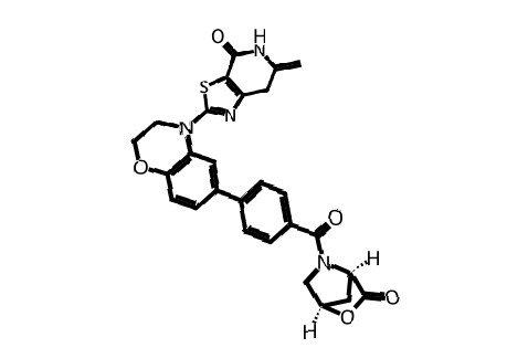 C=C1Cc2nc(N3CCOc4ccc(-c5ccc(C(=O)N6C[C@H]7C[C@@H]6C(=O)O7)cc5)cc43)sc2C(=O)N1